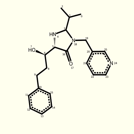 CC(C)C1N[C@@H]([C@H](O)CCc2ccccc2)C(=O)N1Cc1cccnc1